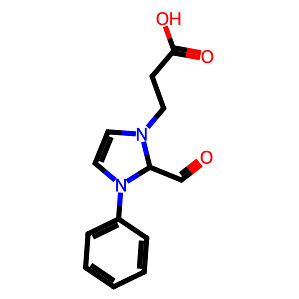 O=CC1N(CCC(=O)O)C=CN1c1ccccc1